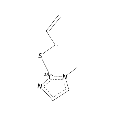 C=C[CH]S[13c]1nccn1C